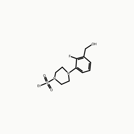 CCS(=O)(=O)N1CCN(c2cccc(CO)c2F)CC1